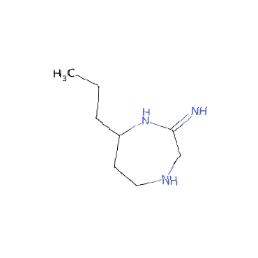 CCCC1CCNCC(=N)N1